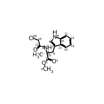 COC(=O)[C@](C)(Cc1c[nH]c2ccccc12)NC(=O)CCl